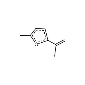 C=C(C)c1ccc(C)o1